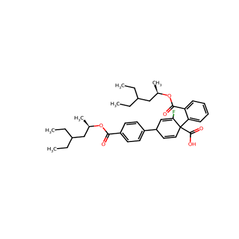 CCC(CC)C[C@@H](C)OC(=O)c1ccc(C2C=CC(C(=O)O)(c3ccccc3C(=O)O[C@H](C)CC(CC)CC)C(F)=C2)cc1